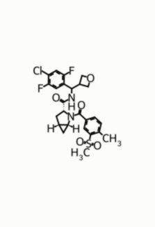 Cc1ccc(C(=O)N2[C@@H](C(=O)NC(c3cc(F)c(Cl)cc3F)C3COC3)C[C@H]3C[C@H]32)cc1S(C)(=O)=O